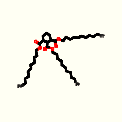 CC(C)CCCCCCCCCCOC(=O)C1CCCC(C(=O)OCCCCCCCCCCC(C)C)C1C(=O)OCCCCCCCCCCC(C)C